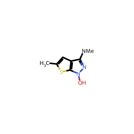 CNc1nn(O)c2sc(C)cc12